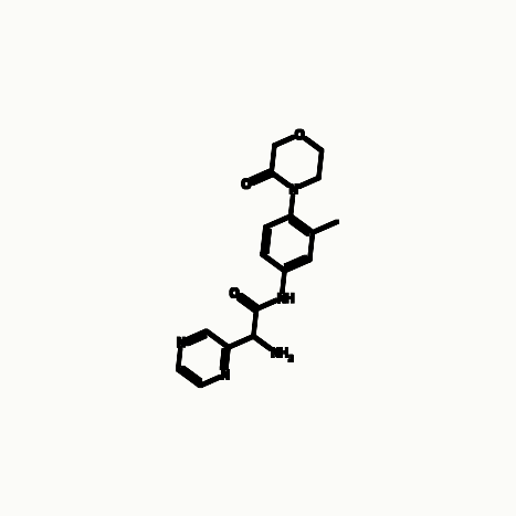 Cc1cc(NC(=O)C(N)c2cnccn2)ccc1N1CCOCC1=O